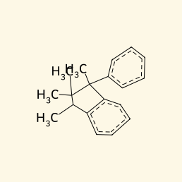 CC1c2ccccc2C(C)(c2ccccc2)C1(C)C